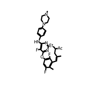 CCC(C/C(C)=C\c1c(C)c(F)cc(Oc2ncnc(Nc3ccc(N4CCN(C)CC4)cc3)c2F)c1F)C(C)=O